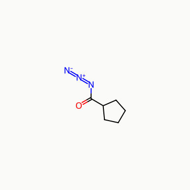 [N-]=[N+]=NC(=O)C1CCCC1